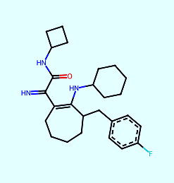 N=C(C(=O)NC1CCC1)C1=C(NC2CCCCC2)C(Cc2ccc(F)cc2)CCCC1